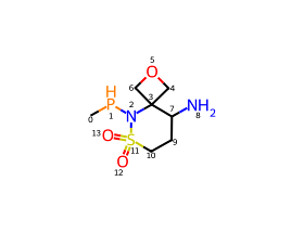 CPN1C2(COC2)C(N)CCS1(=O)=O